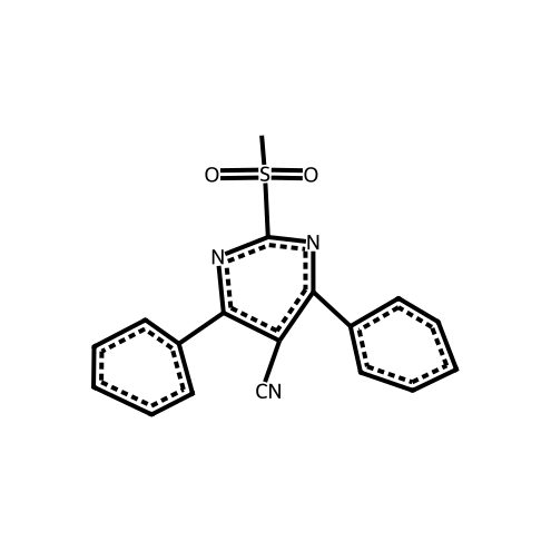 CS(=O)(=O)c1nc(-c2ccccc2)c(C#N)c(-c2ccccc2)n1